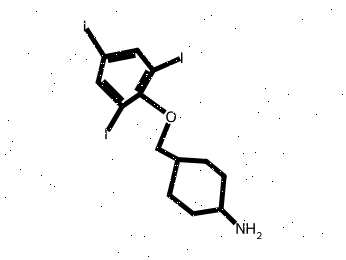 NC1CCC(COc2c(I)cc(I)cc2I)CC1